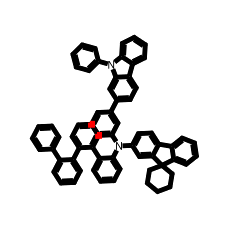 c1ccc(-c2ccccc2-c2ccccc2-c2ccccc2N(c2cccc(-c3ccc4c5ccccc5n(-c5ccccc5)c4c3)c2)c2ccc3c(c2)C2(CCCCC2)c2ccccc2-3)cc1